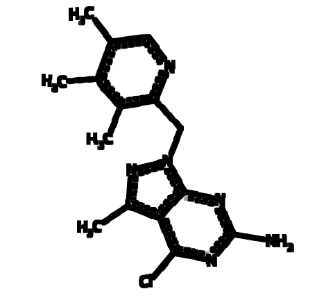 Cc1cnc(Cn2nc(C)c3c(Cl)nc(N)nc32)c(C)c1C